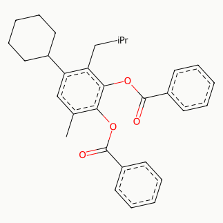 Cc1cc(C2CCCCC2)c(CC(C)C)c(OC(=O)c2ccccc2)c1OC(=O)c1ccccc1